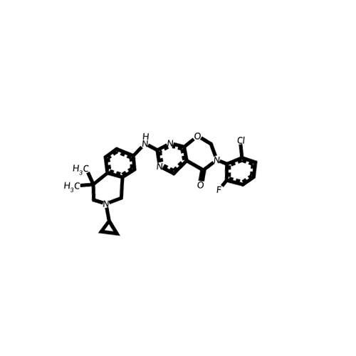 CC1(C)CN(C2CC2)Cc2cc(Nc3ncc4c(n3)OCN(c3c(F)cccc3Cl)C4=O)ccc21